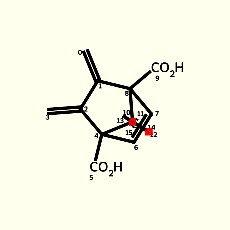 C=C1C(=C)C2(C(=O)O)C=CC1(C(=O)O)C21CCCCC1